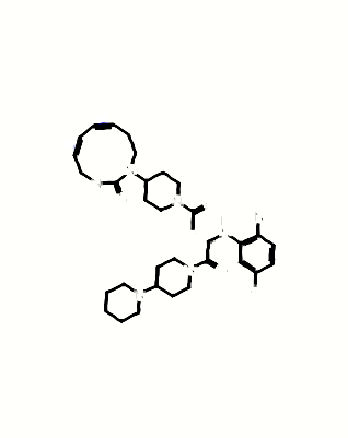 O=C(C[C@H](Nc1cc(Cl)ccc1[N+](=O)[O-])C(=O)N1CCC(N2CCCCC2)CC1)N1CCC(N2CC/C=C\C=C/CNC2=O)CC1